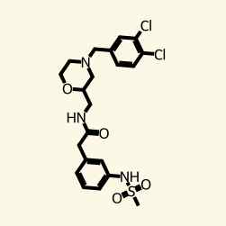 CS(=O)(=O)Nc1cccc(CC(=O)NCC2CN(Cc3ccc(Cl)c(Cl)c3)CCO2)c1